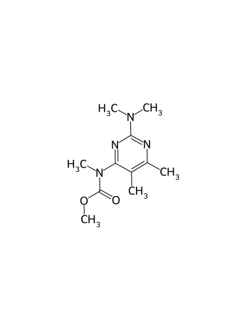 COC(=O)N(C)c1nc(N(C)C)nc(C)c1C